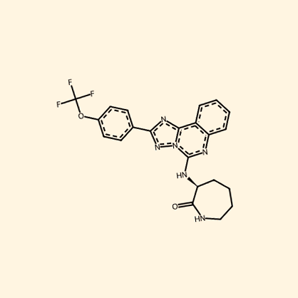 O=C1NCCCC[C@@H]1Nc1nc2ccccc2c2nc(-c3ccc(OC(F)(F)F)cc3)nn12